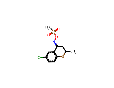 CC1C/C(=N\OS(C)(=O)=O)c2cc(Cl)ccc2S1